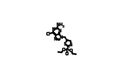 CCOP(=O)(OCC)[C@H]1SC[C@H](Cn2cnc3c(Cl)nc(N)nc32)S1